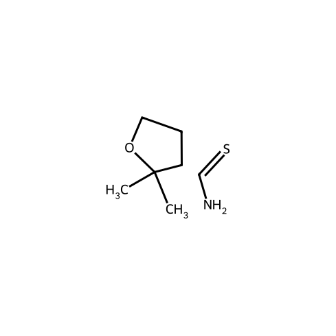 CC1(C)CCCO1.NC=S